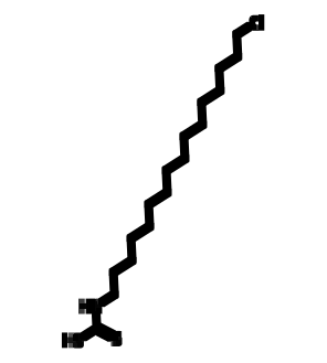 S=C(S)NCCCCCCCCCCCCCCCCCl